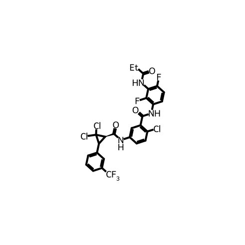 CCC(=O)Nc1c(F)ccc(NC(=O)c2cc(NC(=O)[C@H]3C(c4cccc(C(F)(F)F)c4)C3(Cl)Cl)ccc2Cl)c1F